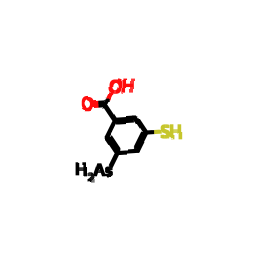 O=C(O)c1cc(S)cc([AsH2])c1